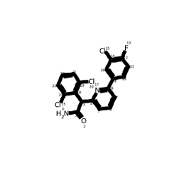 NC(=O)C(c1cccc(-c2ccc(F)c(Cl)c2)n1)c1c(Cl)cccc1Cl